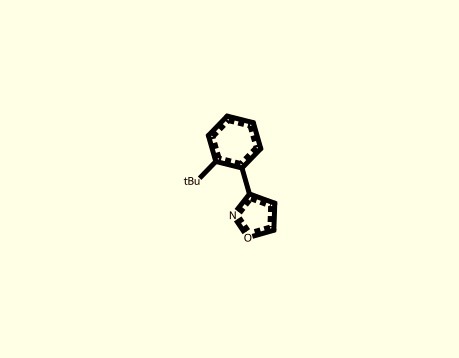 CC(C)(C)c1ccccc1-c1ccon1